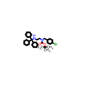 CC(C)(C)OC(=O)N(CCNC(c1ccccc1)(c1ccccc1)c1ccccc1)Cc1ccc(Br)cc1